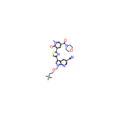 Cn1cc(C(=O)N2CCOCC2)cc(-c2nc(-c3cn(COCC[Si](C)(C)C)c4ncc(C#N)cc34)cs2)c1=O